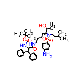 CC(C)CCN([C@@H](CCCCNC(=O)[C@@H](NC(=O)OC(C)(C)C)C(c1ccccc1)c1ccccc1)C(C)O)S(=O)(=O)c1ccc(N)cc1